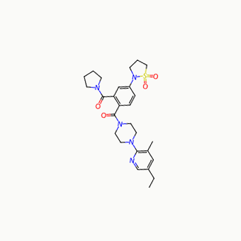 CCc1cnc(N2CCN(C(=O)c3ccc(N4CCCS4(=O)=O)cc3C(=O)N3CCCC3)CC2)c(C)c1